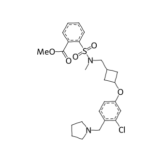 COC(=O)c1ccccc1S(=O)(=O)N(C)CC1CC(Oc2ccc(CN3CCCC3)c(Cl)c2)C1